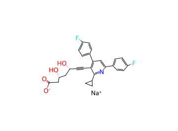 O=C([O-])C[C@H](O)C[C@H](O)C#Cc1c(-c2ccc(F)cc2)cc(-c2ccc(F)cc2)nc1C1CC1.[Na+]